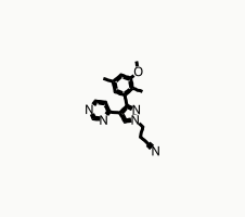 COc1cc(C)cc(-c2nn(CCC#N)cc2-c2ccncn2)c1C